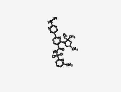 CC1CN(c2nc(-c3ccc(NC(C)C)nc3)ccc2C(=O)NS(=O)(=O)c2cccc(N)n2)C(C)(C)C1